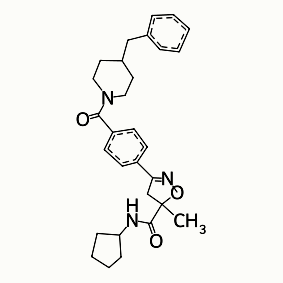 CC1(C(=O)NC2CCCC2)CC(c2ccc(C(=O)N3CCC(Cc4ccccc4)CC3)cc2)=NO1